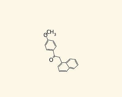 COc1ccc(C(=O)Cc2cccc3ccccc23)cc1